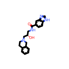 O=C(NC[C@H](O)CN1CCc2ccccc2C1)c1ccc2[nH]cnc2c1